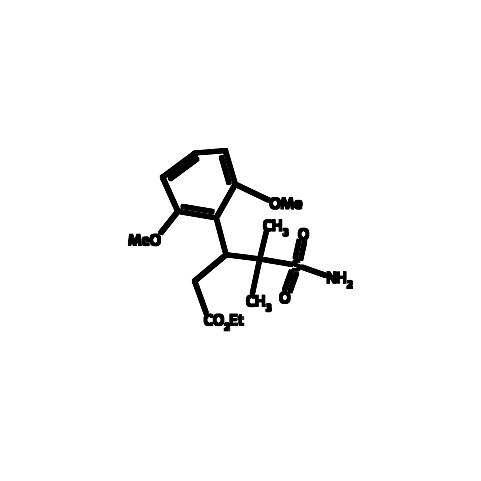 CCOC(=O)CC(c1c(OC)cccc1OC)C(C)(C)S(N)(=O)=O